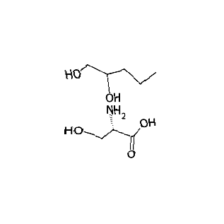 CCCC(O)CO.N[C@@H](CO)C(=O)O